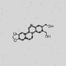 OCc1cc2ncc3c4cc5c(cc4ccc3c2cc1CO)OCO5